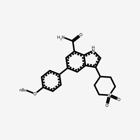 CCCCOc1ccc(-c2cc(C(N)=O)c3[nH]cc(C4CCS(=O)(=O)CC4)c3c2)cc1